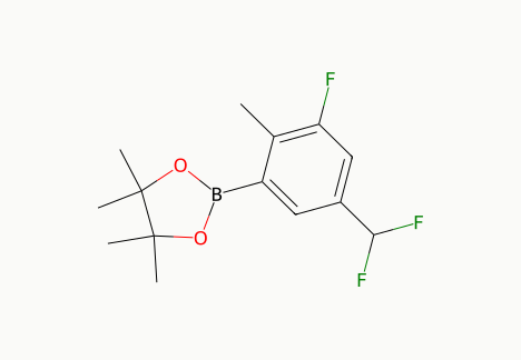 Cc1c(F)cc(C(F)F)cc1B1OC(C)(C)C(C)(C)O1